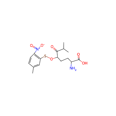 Cc1ccc([N+](=O)[O-])c(SOC(CCC(N)C(=O)O)C(=O)C(C)C)c1